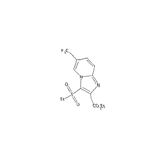 CCOC(=O)c1nc2ccc(C(F)(F)F)cn2c1S(=O)(=O)CC